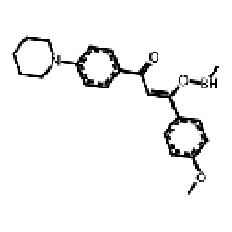 CBO/C(=C\C(=O)c1ccc(N2CCCCC2)cc1)c1ccc(OC)cc1